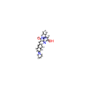 C/C=C(/CNC(=O)/C(C#N)=C/c1ccc2cc(N3CCCCC3)ccc2c1)C(C)C(CC)C(C)C(C)O